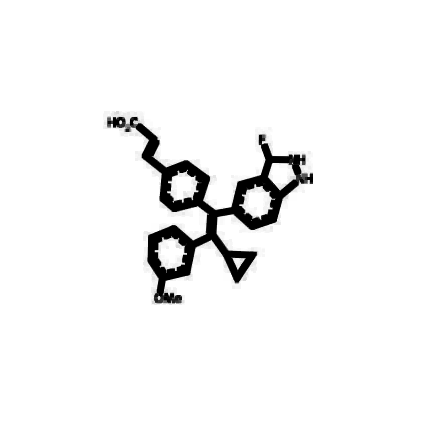 COc1cccc(/C(=C(\c2ccc(/C=C/C(=O)O)cc2)c2ccc3c(c2)C(F)NN3)C2CC2)c1